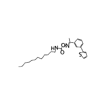 CCCCCCCCCCCCNC(=O)ON=C(C)c1cccc(-c2cccs2)c1